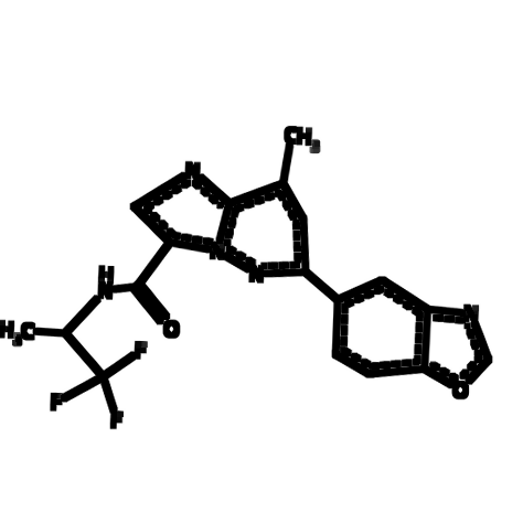 Cc1cc(-c2ccc3ocnc3c2)nn2c(C(=O)NC(C)C(F)(F)F)cnc12